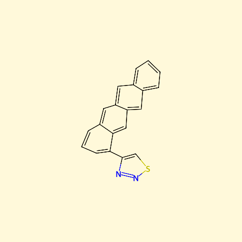 c1ccc2cc3cc4c(-c5csnn5)cccc4cc3cc2c1